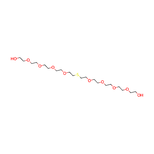 OCCOCCOCCOCCOCCSCCOCCOCCOCCOCCO